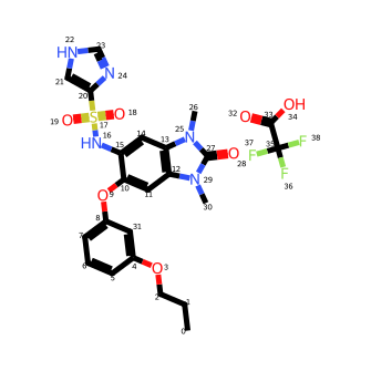 CCCOc1cccc(Oc2cc3c(cc2NS(=O)(=O)c2c[nH]cn2)n(C)c(=O)n3C)c1.O=C(O)C(F)(F)F